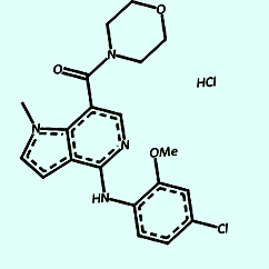 COc1cc(Cl)ccc1Nc1ncc(C(=O)N2CCOCC2)c2c1ccn2C.Cl